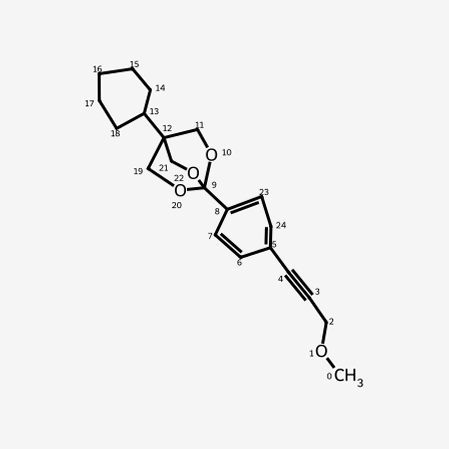 COCC#Cc1ccc(C23OCC(C4CCCCC4)(CO2)CO3)cc1